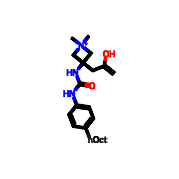 C=C(O)CC1(NC(=O)Nc2ccc(CCCCCCCC)cc2)C[N+](C)(C)C1